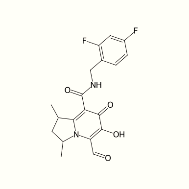 CC1CC(C)n2c(C=O)c(O)c(=O)c(C(=O)NCc3ccc(F)cc3F)c21